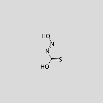 ON=NC(O)=S